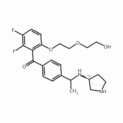 CC(N[C@H]1CCNC1)c1ccc(C(=O)c2c(OCCOCCO)ccc(F)c2F)cc1